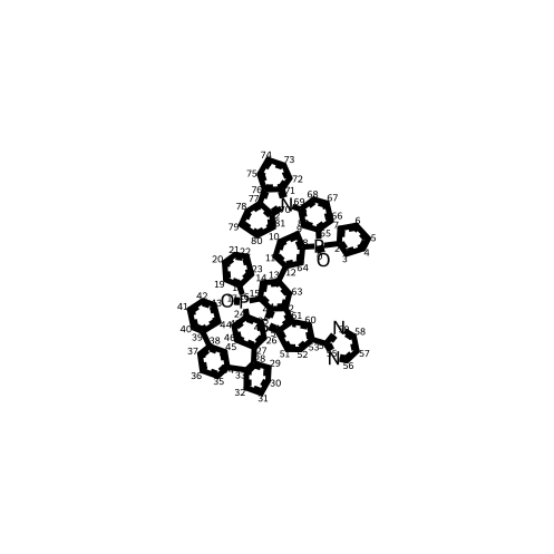 O=P(c1ccccc1)(c1cccc(-c2cc(P(=O)(c3ccccc3)c3ccc(-c4ccccc4-c4cccc(-c5ccccc5)c4)cc3)c3sc4ccc(-c5ncccn5)cc4c3c2)c1)c1cccc(-n2c3ccccc3c3ccccc32)c1